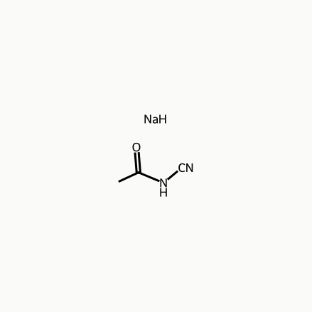 CC(=O)NC#N.[NaH]